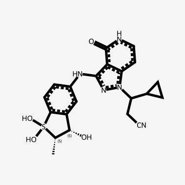 C[C@H]1[C@@H](O)c2cc(Nc3nn(C(CC#N)C4CC4)c4cc[nH]c(=O)c34)ccc2S1(O)O